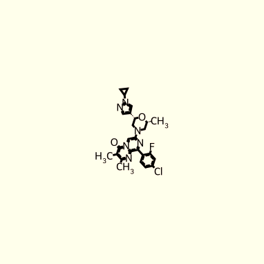 Cc1nc2c(-c3ccc(Cl)cc3F)nc(N3C[C@@H](C)O[C@@H](c4cnn(C5CC5)c4)C3)cn2c(=O)c1C